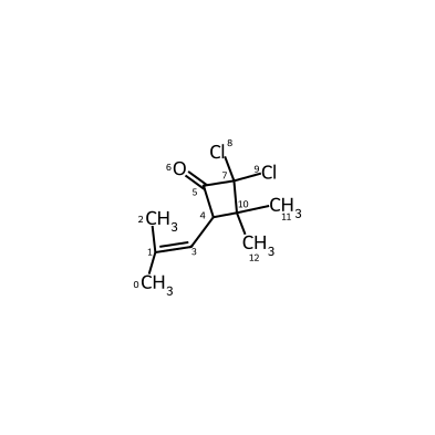 CC(C)=CC1C(=O)C(Cl)(Cl)C1(C)C